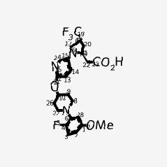 COc1ccc(F)c(N2CCC(Oc3ccc(N4C[C@H](C(F)(F)F)C[C@H]4CC(=O)O)cn3)CC2)c1